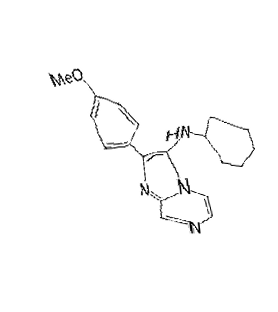 COc1ccc(-c2nc3cnccn3c2NC2CCCCC2)cc1